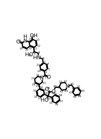 O=C(c1ccc(CNCC(O)c2ccc(O)c3[nH]c(=O)ccc23)cc1)N1CCC=C(c2cccc(C(O)(C(=O)OCC3CCN(Cc4ccccc4)CC3)c3ccccc3)c2)C1